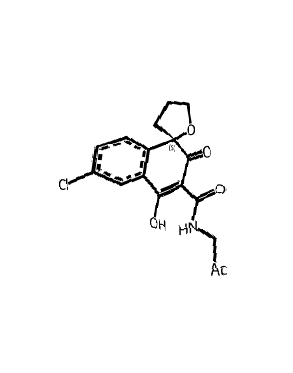 CC(=O)CNC(=O)C1=C(O)c2cc(Cl)ccc2[C@@]2(CCCO2)C1=O